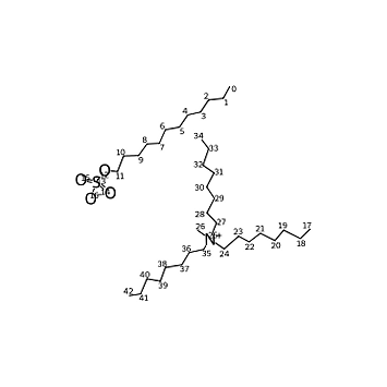 CCCCCCCCCCCCOS(=O)(=O)[O-].CCCCCCCC[N+](C)(CCCCCCCC)CCCCCCCC